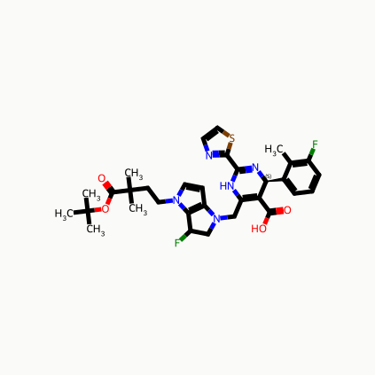 Cc1c(F)cccc1[C@@H]1N=C(c2nccs2)NC(CN2CC(F)c3c2ccn3CCC(C)(C)C(=O)OC(C)(C)C)=C1C(=O)O